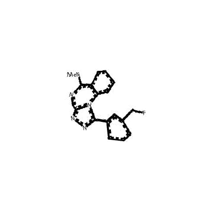 CNc1nc2nnc(-c3cccc(CF)c3)n2c2ccccc12